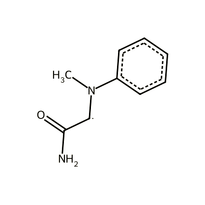 CN([CH]C(N)=O)c1ccccc1